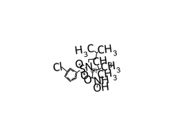 CC(C)CCN([C@@H](C(=O)NO)C(C)(C)C)S(=O)(=O)c1cccc(Cl)c1